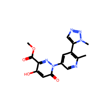 COC(=O)c1nn(-c2cnc(C)c(-c3cnnn3C)c2)c(=O)cc1O